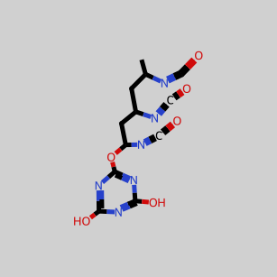 CC(CC(CC(N=C=O)Oc1nc(O)nc(O)n1)N=C=O)N=C=O